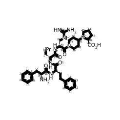 CC(C)C[C@@H](NC(=O)[C@@H](CCc1ccccc1)NC(=O)[C@H](N)Cc1ccccc1)C(=O)N[C@H](CNC(=N)N)C(=O)N1CCC(N2CCC[C@H]2C(=O)O)CC1